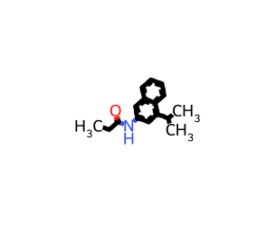 CCC(=O)Nc1cc(C(C)C)c2ccccc2c1